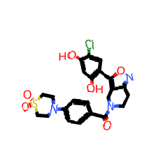 O=C(c1ccc(N2CCS(=O)(=O)CC2)cc1)N1CCc2noc(-c3cc(Cl)c(O)cc3O)c2C1